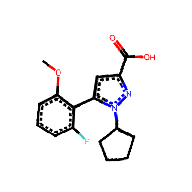 COc1cccc(F)c1-c1cc(C(=O)O)nn1C1CCCC1